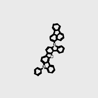 c1ccc(-n2c3ccccc3c3c4oc5c(ccc6c5c5ccccc5n6-c5ccc6c7c(cccc57)-c5ccccc5-6)c4ccc32)cc1